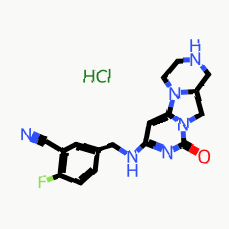 Cl.N#Cc1cc(CNc2cc3n(c(=O)n2)CC2CNCCN32)ccc1F